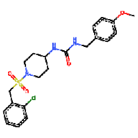 COc1ccc(CNC(=O)NC2CCN(S(=O)(=O)Cc3ccccc3Cl)CC2)cc1